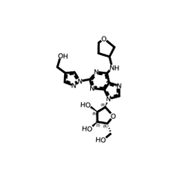 OCc1cnn(-c2nc(NC3CCOC3)c3ncn([C@@H]4O[C@H](CO)[C@@H](O)[C@H]4O)c3n2)c1